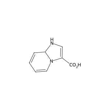 O=C(O)C1=CNC2C=CC=CN12